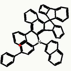 c1ccc(-c2ccc(N(c3ccc4ccccc4c3)c3c4c(c5ccccc5c3-c3ccccc3)C3(c5ccccc5-c5ccccc53)c3ccccc3-4)cc2)cc1